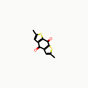 Cc1cc2c(s1)C(=O)c1sc(C)cc1C2=O